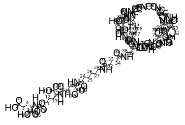 O=C(O)CC[C@H](NP(=O)(O)OCCC[C@H](NC(=O)CC[C@H](NC(=O)CCCCCNC(=O)CCCC(=O)NCCCCC1CN2CCNC(=O)c3cccc(c3O)C(=O)NCCN3CCNC(=O)c4cccc(c4O)C(=O)NCCN(CCNC(=O)c4cccc(c4O)C(=O)NCCN(CCNC(=O)c4cccc(c4O)C(=O)N1)CC3)CC2)C(=O)O)C(=O)O)C(=O)O